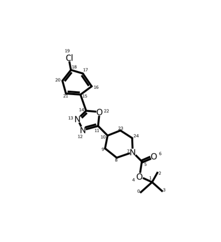 CC(C)(C)OC(=O)N1CCC(c2nnc(-c3ccc(Cl)cc3)o2)CC1